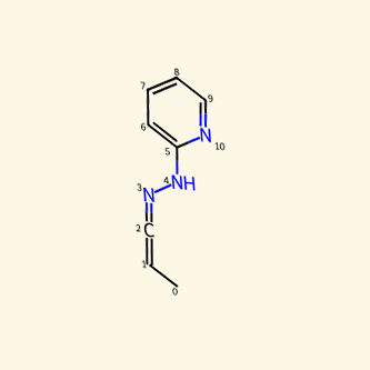 CC=C=NNc1ccccn1